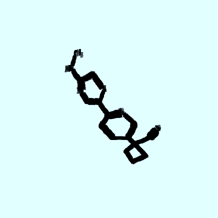 CNc1cnc(-c2ccc(C3(C#N)CCC3)cn2)cn1